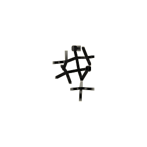 CC(C)(C)[C@H]1OC1(C(C)(C)C)C(O)(C(C)(C)C)C(C)(C)C